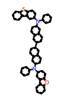 c1ccc(N(c2ccc3cc(-c4ccc5cc(N(c6ccccc6)c6ccc7sc8ccccc8c7c6)ccc5c4)ccc3c2)c2ccc3oc4ccccc4c3c2)cc1